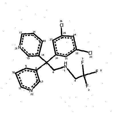 FC(F)(F)CNCC(c1cccnc1)(c1cccnc1)c1cc(Cl)cc(Cl)c1